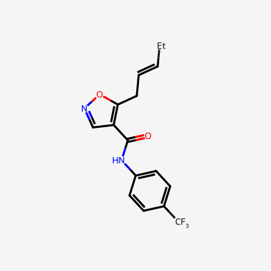 CCC=CCc1oncc1C(=O)Nc1ccc(C(F)(F)F)cc1